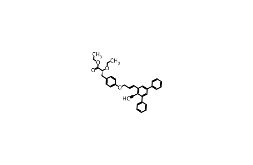 C#Cc1c(/C=C/COc2ccc(C[C@H](OCC)C(=O)OCC)cc2)cc(-c2ccccc2)cc1-c1ccccc1